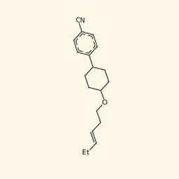 CC/C=C/CCOC1CCC(c2ccc(C#N)cc2)CC1